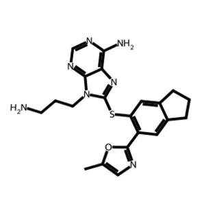 Cc1cnc(-c2cc3c(cc2Sc2nc4c(N)ncnc4n2CCCN)CCC3)o1